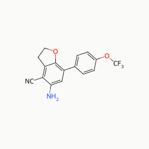 N#Cc1c(N)cc(-c2ccc(OC(F)(F)F)cc2)c2c1CCO2